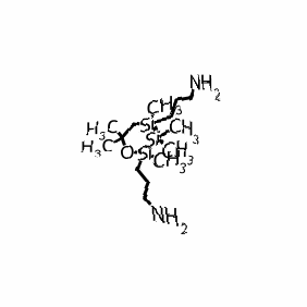 CC1(C)C[Si](C)(CCCN)[Si](C)(C)[Si](C)(CCCN)O1